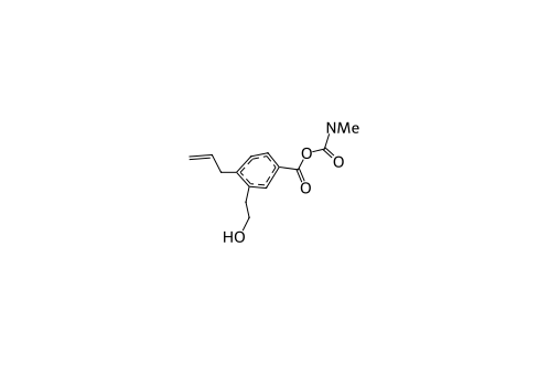 C=CCc1ccc(C(=O)OC(=O)NC)cc1CCO